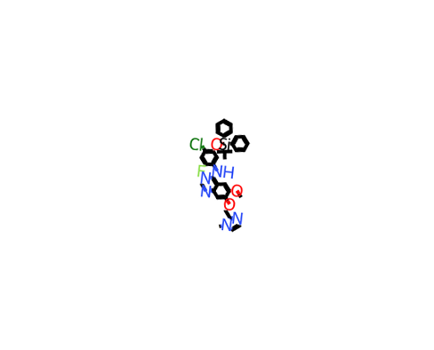 COc1cc2c(Nc3cc(O[Si](c4ccccc4)(c4ccccc4)C(C)(C)C)c(Cl)cc3F)ncnc2cc1OCc1nccn1C